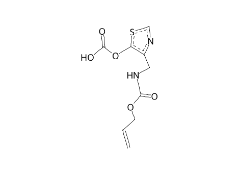 C=CCOC(=O)NCc1ncsc1OC(=O)O